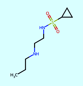 CCCNCCNS(=O)(=O)C1CC1